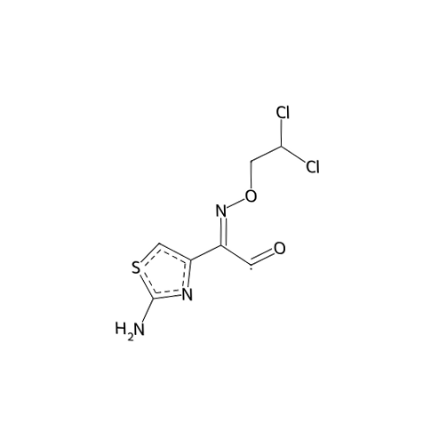 Nc1nc(/C([C]=O)=N/OCC(Cl)Cl)cs1